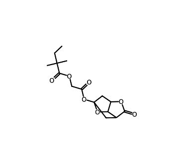 CCC(C)(C)C(=O)OCC(=O)OC12CC3OC(=O)C(C1)C3O2